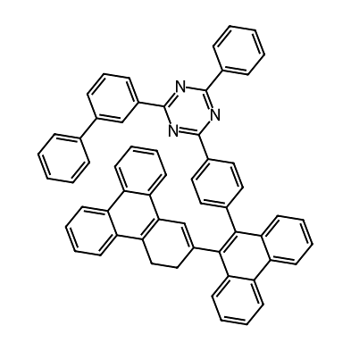 C1=C(c2c(-c3ccc(-c4nc(-c5ccccc5)nc(-c5cccc(-c6ccccc6)c5)n4)cc3)c3ccccc3c3ccccc23)CCc2c1c1ccccc1c1ccccc21